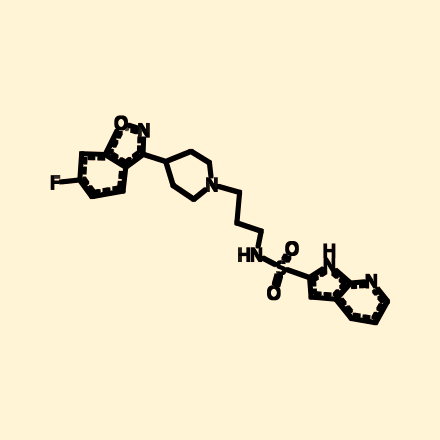 O=S(=O)(NCCCN1CCC(c2noc3cc(F)ccc23)CC1)c1cc2cccnc2[nH]1